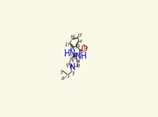 CC(C)CN1CCC2(CC1)NC(=O)c1ccccc1N2